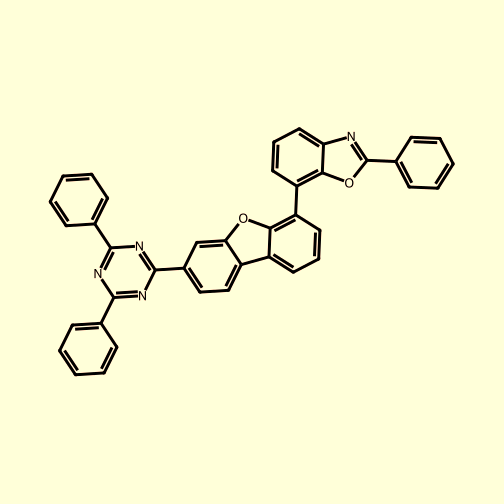 c1ccc(-c2nc(-c3ccccc3)nc(-c3ccc4c(c3)oc3c(-c5cccc6nc(-c7ccccc7)oc56)cccc34)n2)cc1